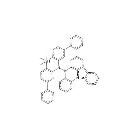 C[SH]1(C)(C)c2ccc(-c3ccccc3)cc2N(B2c3ccccc3-n3c4ccccc4c4cccc2c43)c2cc(-c3ccccc3)ccc21